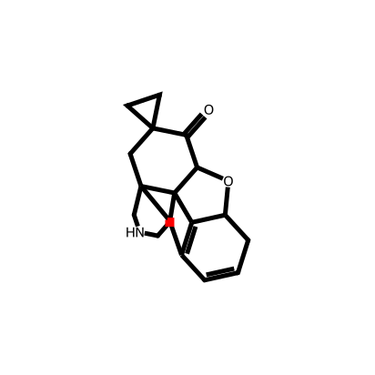 O=C1C2OC3CC=CC4=C3C23CCNCC3(C4)CC12CC2